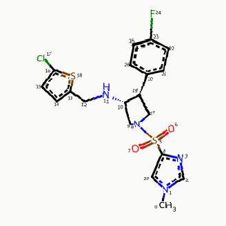 Cn1cnc(S(=O)(=O)N2C[C@H](NCc3ccc(Cl)s3)[C@@H](c3ccc(F)cc3)C2)c1